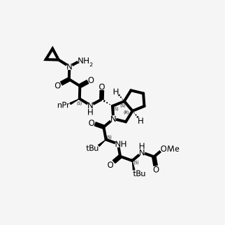 CCC[C@H](NC(=O)[C@@H]1[C@H]2CCC[C@H]2CN1C(=O)[C@@H](NC(=O)[C@@H](NC(=O)OC)C(C)(C)C)C(C)(C)C)C(=O)C(=O)N(N)C1CC1